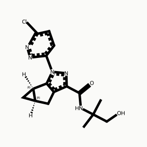 CC(C)(CO)NC(=O)c1nn(-c2ccc(Cl)nn2)c2c1C[C@H]1C[C@@H]21